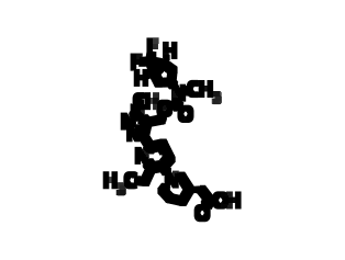 CCc1nc(-c2nnn(C)c2COC(=O)N(C)C2C[C@@H]3[C@H](C2)C3(F)F)ccc1N1CCC[C@H](CC(=O)O)C1